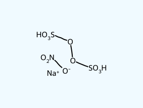 O=S(=O)(O)OOS(=O)(=O)O.O=[N+]([O-])[O-].[Na+]